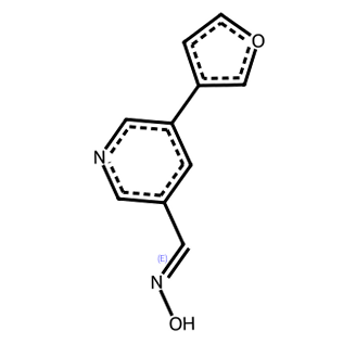 O/N=C/c1cncc(-c2ccoc2)c1